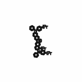 CC(C)c1ccc(N(c2ccccc2)c2ccc3cc4c(cc3c2)oc2cc3c(C(C)C)c(N(c5ccccc5)c5ccc(C(C)C)cc5)ccc3cc24)cc1